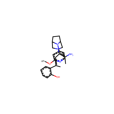 CCCOc1cc(N2C3CCC2CN(C(/C=C(\C)c2ccccc2O)=C(/C)N)C3)ccn1